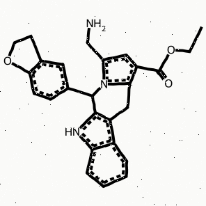 CCOC(=O)c1cc(CN)n2c1Cc1c([nH]c3ccccc13)C2c1ccc2c(c1)CCO2